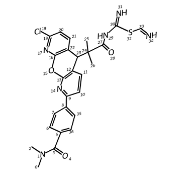 CN(C)C(=O)c1ccc(-c2ccc3c(n2)Oc2nc(Cl)ccc2C3C(C)(C)C(=O)NC(=N)SC=N)cc1